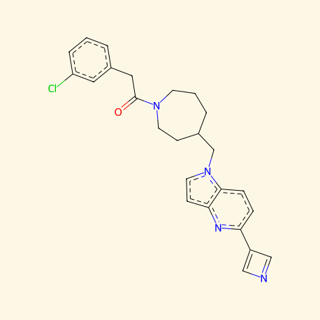 O=C(Cc1cccc(Cl)c1)N1CCCC(Cn2ccc3nc(C4=CN=C4)ccc32)CC1